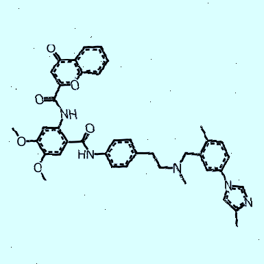 COc1cc(NC(=O)c2cc(=O)c3ccccc3o2)c(C(=O)Nc2ccc(CCN(C)Cc3cc(-n4cnc(C)c4)ccc3C)cc2)cc1OC